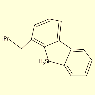 [CH2]C(C)Cc1cccc2c1[SiH2]c1ccccc1-2